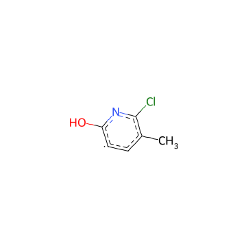 Cc1c[c]c(O)nc1Cl